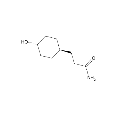 NC(=O)CC[C@H]1CC[C@H](O)CC1